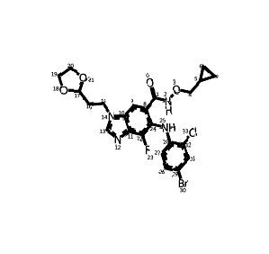 O=C(NOCC1CC1)c1cc2c(ncn2CCC2OCCO2)c(F)c1Nc1ccc(Br)cc1Cl